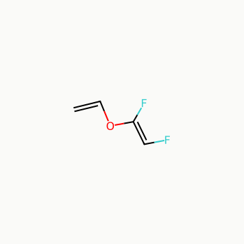 C=COC(F)=CF